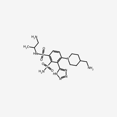 CC(CN)NS(=O)(=O)c1ccc(N2CCC(CN)CC2)c(-c2nnn[nH]2)c1S(N)(=O)=O